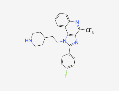 Fc1ccc(-c2nc3c(C(F)(F)F)nc4ccccc4c3n2CCC2CCNCC2)cc1